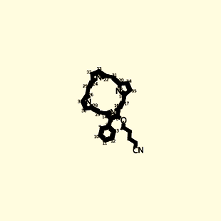 N#CCCCCOC1=C(c2ccccc2)C2=NC1=CC1=NC(=CC3=NC(=CC4=NC(=C2)C=C4)C=C3)C=C1